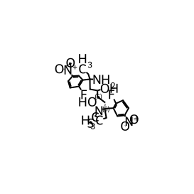 CCC(N)(CC(O)[C@@H](O)C[C@](CC)(N=C=S)c1cc([N+](=O)[O-])ccc1F)c1cc([N+](=O)[O-])ccc1F